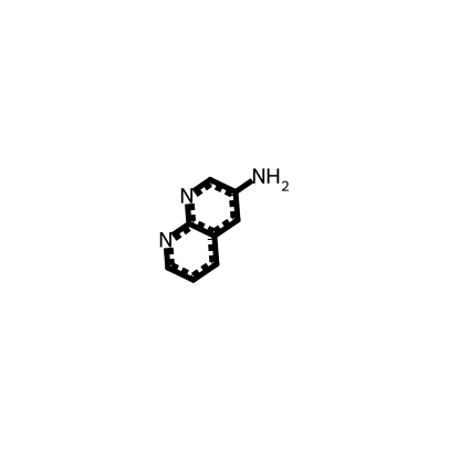 Nc1cnc2ncccc2c1